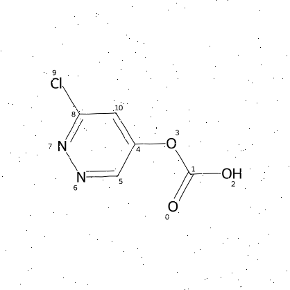 O=C(O)Oc1cnnc(Cl)c1